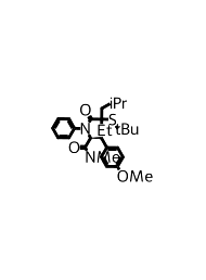 CCC(CC(C)C)(SC(C)(C)C)C(=O)N(c1ccccc1)[C@@H](Cc1ccc(OC)cc1)C(=O)NC